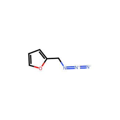 [N-]=[N+]=NCc1ccco1